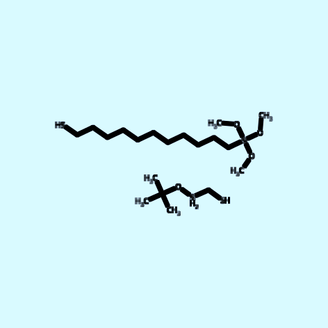 CC(C)(C)O[SiH2]CS.CO[Si](CCCCCCCCCCCS)(OC)OC